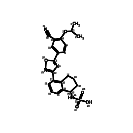 CC(C)Oc1ccc(-c2nc(-c3cccc4c3CCC[C@H]4NS(=O)(=O)O)no2)cc1C#N